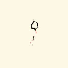 [SiH3]OCCOc1ccccc1